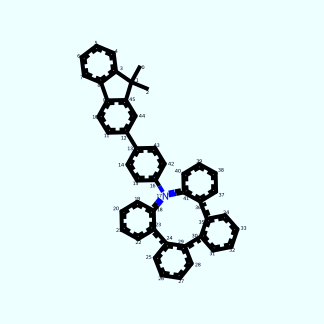 CC1(C)c2ccccc2-c2ccc(-c3ccc(-n4c5ccccc5c5ccccc5c5ccccc5c5ccccc54)cc3)cc21